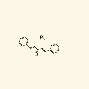 O=C(C=Cc1ccccc1)C=Cc1ccccc1.[Pt]